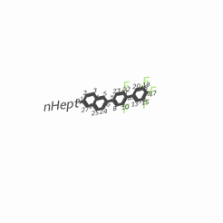 CCCCCCCc1ccc2cc(-c3cc(F)c(-c4cc(F)c(F)c(F)c4)c(F)c3)ccc2c1